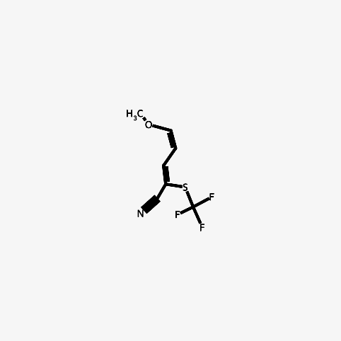 CO/C=C\C=C(\C#N)SC(F)(F)F